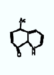 CC(=O)C1C=CC(=O)C2NC=CC=C12